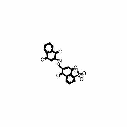 O=C1C=C(N=NC2=CC(=O)c3c(cccc3S(=O)(=O)Cl)C2=O)C(=O)c2ccccc21